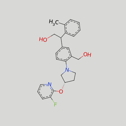 Cc1ccccc1C(CO)c1ccc(N2CC[C@H](Oc3ncccc3F)C2)c(CO)c1